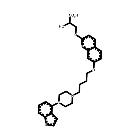 O=C(O)C(O)COc1ccc2ccc(OCCCCN3CCN(c4cccc5sccc45)CC3)cc2n1